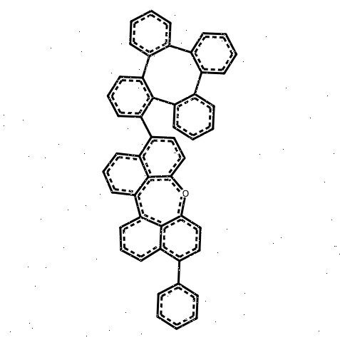 c1ccc(-c2ccc3oc4ccc(-c5cccc6c5-c5ccccc5-c5ccccc5-c5ccccc5-6)c5cccc(c6cccc2c36)c45)cc1